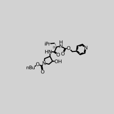 CCCCOC(=O)N1CC(O)C(NC(=O)[C@H](CC(C)C)NC(=O)OCc2ccncc2)C1